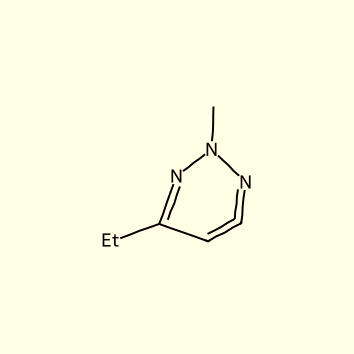 CCC1=NN(C)N=C=C1